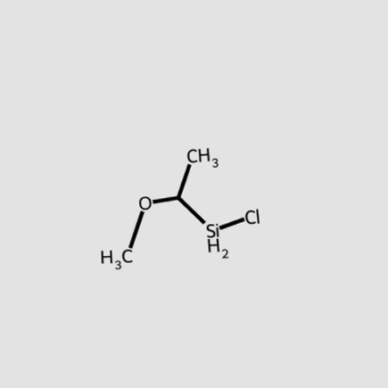 COC(C)[SiH2]Cl